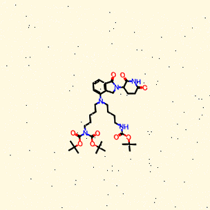 CC(C)(C)OC(=O)NCCCCN(CCCCCN(C(=O)OC(C)(C)C)C(=O)OC(C)(C)C)c1cccc2c1CN(C1CCC(=O)NC1=O)C2=O